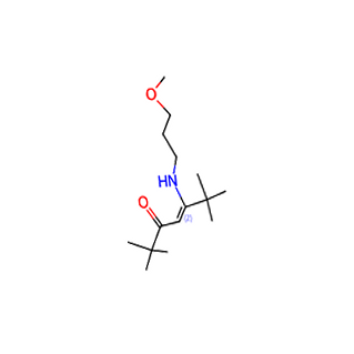 COCCCN/C(=C\C(=O)C(C)(C)C)C(C)(C)C